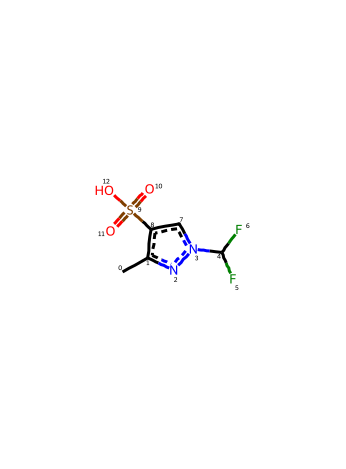 Cc1nn(C(F)F)cc1S(=O)(=O)O